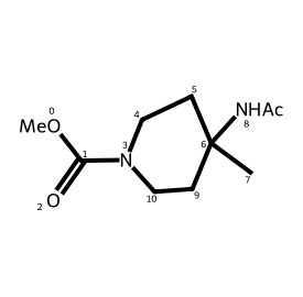 COC(=O)N1CCC(C)(NC(C)=O)CC1